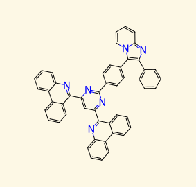 c1ccc(-c2nc3ccccn3c2-c2ccc(-c3nc(-c4nc5ccccc5c5ccccc45)cc(-c4nc5ccccc5c5ccccc45)n3)cc2)cc1